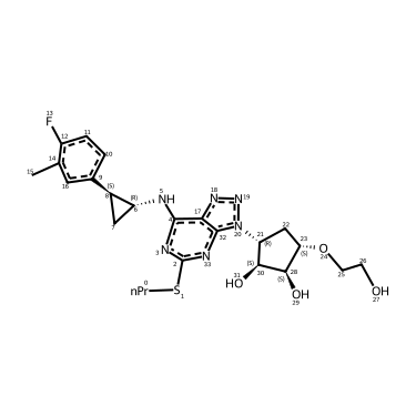 CCCSc1nc(N[C@@H]2C[C@H]2c2ccc(F)c(C)c2)c2nnn([C@@H]3C[C@H](OCCO)[C@@H](O)[C@H]3O)c2n1